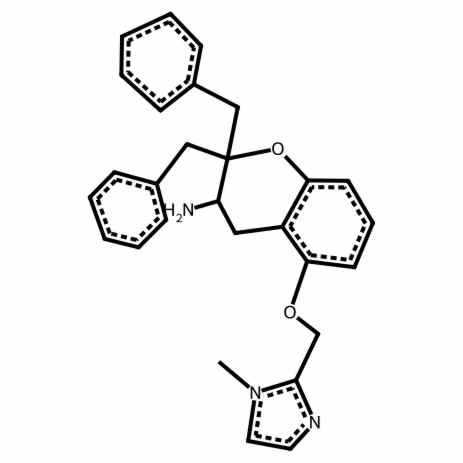 Cn1ccnc1COc1cccc2c1CC(N)C(Cc1ccccc1)(Cc1ccccc1)O2